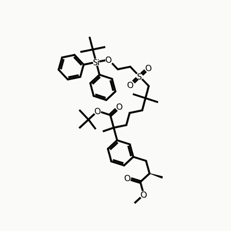 COC(=O)[C@H](C)Cc1cccc(C(C)(CCCC(C)(C)CS(=O)(=O)CCO[Si](c2ccccc2)(c2ccccc2)C(C)(C)C)C(=O)OC(C)(C)C)c1